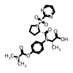 C[C@@H](C(=O)O)N(C(=O)[C@@H]1CCCN1S(=O)(=O)c1ncccn1)c1ccc(OC(=O)N(C)C)cc1